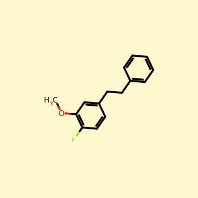 COc1cc(CCc2ccccc2)ccc1F